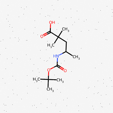 CC(CC(C)(C)C(=O)O)NC(=O)OC(C)(C)C